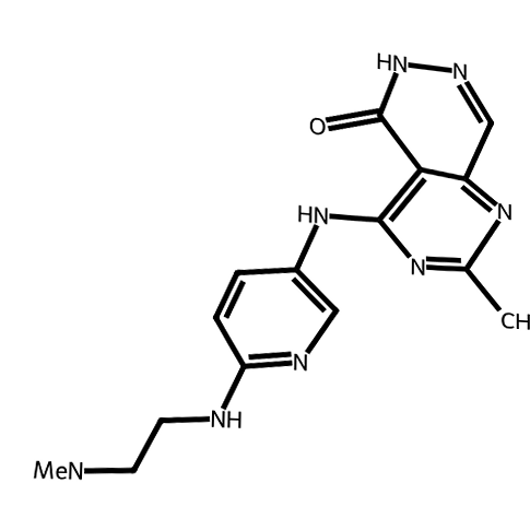 CNCCNc1ccc(Nc2nc(C)nc3cn[nH]c(=O)c23)cn1